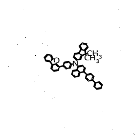 CC1(C)c2ccccc2-c2ccc(N(c3ccc(-c4cccc5c4oc4ccccc45)cc3)c3ccc(-c4ccc(-c5ccccc5)cc4)c4ccccc34)cc21